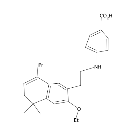 CCOc1cc2c(cc1CCNc1ccc(C(=O)O)cc1)C(C(C)C)=CCC2(C)C